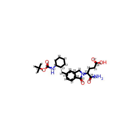 CC(C)(C)OC(=O)N[C@H]1CCCC[C@@H]1Cc1ccc2c(c1)CN(C(CCC(=O)O)C(N)=O)C2=O